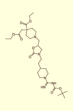 CCOC(=O)CC1(C(=O)OCC)CCN(CC2CN(CCC3CCN(C(=N)NC(=O)OC(C)(C)C)CC3)C(=O)O2)CC1